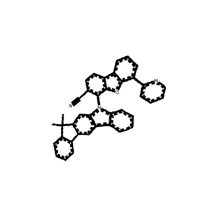 CC1(C)c2ccccc2-c2cc3c4ccccc4n(-c4c(C#N)ccc5c4oc4c(-c6ccccn6)cccc45)c3cc21